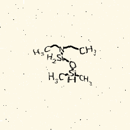 CCN(CC)[SiH2]O[SiH](C)C